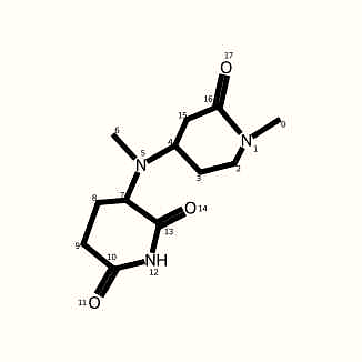 CN1CCC(N(C)C2CCC(=O)NC2=O)CC1=O